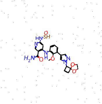 COc1c(Nc2cc(N[SH]=O)ncc2C(N)=O)cccc1-c1cnn(C2CCC23OCCO3)c1